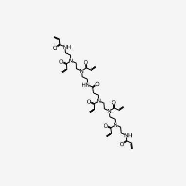 C=CC(=O)NCCN(CCN(CCNC(=O)CCN(CCN(CCN(CCNC(=O)C=C)C(=O)C=C)C(=O)C=C)C(=O)C=C)C(=O)C=C)C(=O)C=C